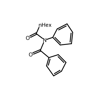 CCCCCCC(=O)N(C(=O)c1ccccc1)c1ccccc1